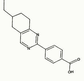 CCC1CCc2nc(-c3ccc(C(=O)O)cc3)ncc2C1